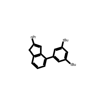 CCCC1=Cc2c(cccc2-c2cc(C(C)(C)C)cc(C(C)(C)C)c2)[CH]1